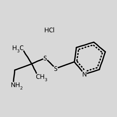 CC(C)(CN)SSc1ccccn1.Cl